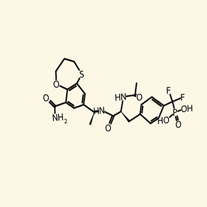 CC(=O)N[C@@H](Cc1ccc(C(F)(F)P(=O)(O)O)cc1)C(=O)N[C@@H](C)c1cc2c(c(C(N)=O)c1)OCCCS2